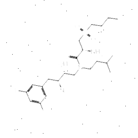 CCCCS(=O)(=O)C[C@@H](N)C(=O)N(CCC(C)C)C[C@@H](O)[C@@H](N)Cc1cc(F)cc(F)c1